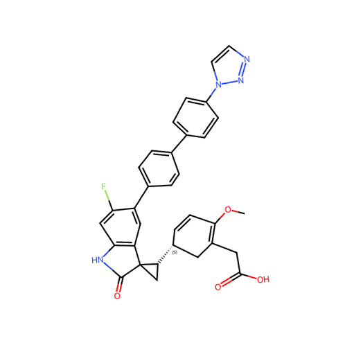 COC1=C(CC(=O)O)C[C@H](C2CC23C(=O)Nc2cc(F)c(-c4ccc(-c5ccc(-n6ccnn6)cc5)cc4)cc23)C=C1